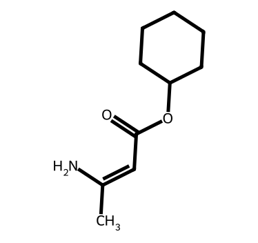 C/C(N)=C/C(=O)OC1CCCCC1